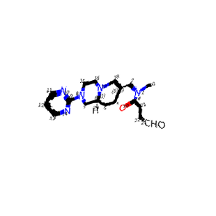 CN(C[C@H]1CC[C@H]2CN(c3ncccn3)CCN2C1)C(=O)CCC=O